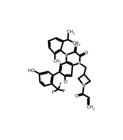 C=CC(=O)N1CC(Cn2c(=O)c(=O)n(-c3c(C)cccc3C(C)C)c3cc(-c4cc(O)ccc4C(F)(F)F)c(Cl)cc32)C1